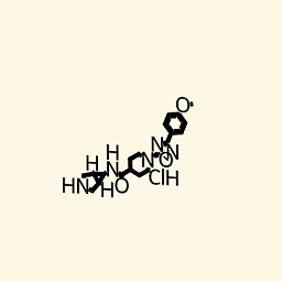 COc1ccc(-c2noc(N3CCC(C(=O)NC4[C@H]5CNC[C@@H]45)CC3)n2)cc1.Cl